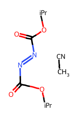 CC#N.CC(C)OC(=O)N=NC(=O)OC(C)C